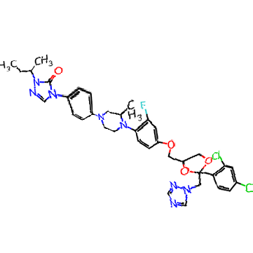 CCC(C)n1ncn(-c2ccc(N3CCN(c4ccc(OCC5COC(Cn6cncn6)(c6ccc(Cl)cc6Cl)O5)cc4F)C(C)C3)cc2)c1=O